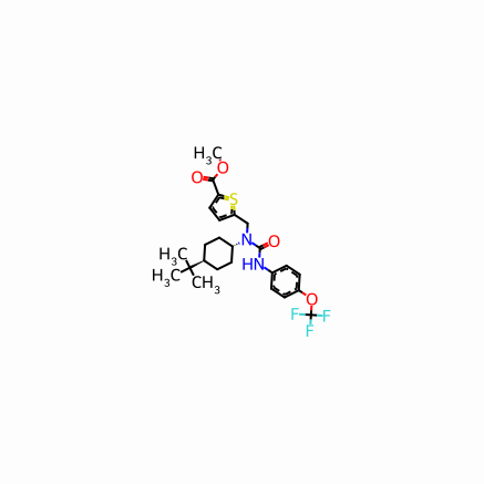 COC(=O)c1ccc(CN(C(=O)Nc2ccc(OC(F)(F)F)cc2)[C@H]2CC[C@H](C(C)(C)C)CC2)s1